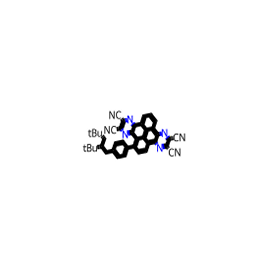 CC(C)(C)CC(Cc1ccc(-c2ccc3c4nc(C#N)c(C#N)nc4c4cccc5c6nc(C#N)c(C#N)nc6c2c3c45)cc1)C(C)(C)C